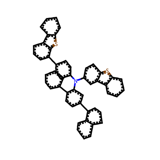 c1ccc(-c2ccc(-c3cccc4ccccc34)cc2N(c2ccc(-c3cccc4c3sc3ccccc34)cc2)c2ccc3sc4ccccc4c3c2)cc1